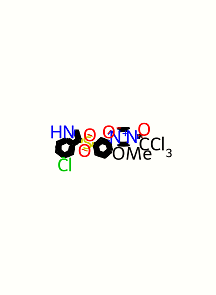 COc1ccc(S(=O)(=O)c2c[nH]c3ccc(Cl)cc23)cc1[N+]1([O-])CCN(C(=O)C(Cl)(Cl)Cl)CC1